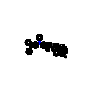 [2H]/C(=C(/[2H])c1ccc2c(c1)C(C)(C)C1=C2C(C)(C)c2ccccc21)c1ccc(N(c2ccccc2)c2ccc3c(c2)-c2ccccc2C3c2ccccc2)cc1